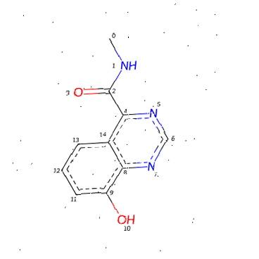 CNC(=O)c1ncnc2c(O)cccc12